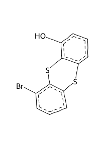 Oc1cccc2c1Sc1c(Br)cccc1S2